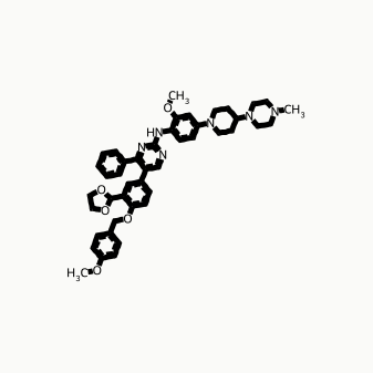 COc1ccc(COc2ccc(-c3cnc(Nc4ccc(N5CCC(N6CCN(C)CC6)CC5)cc4OC)nc3-c3ccccc3)cc2C2OCCO2)cc1